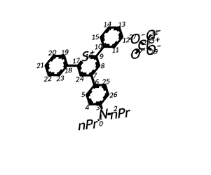 CCCN(CCC)c1ccc(-c2cc(-c3ccccc3)[s+]c(-c3ccccc3)c2)cc1.[O-][Cl+3]([O-])([O-])[O-]